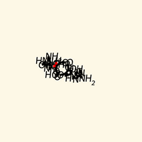 Nc1nc2c(ncn2[C@@H]2O[C@@H]3CO[PH](=O)O[C@H]4[C@@H](O)[C@H](n5cnc6c(N)ncnc65)[C@H]5C[C@]54COP(=O)(O)O[C@@H]2[C@@H]3F)c(=O)[nH]1